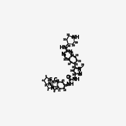 CN1CC2CCC(C1)N2Cc1ccc(NC(=O)Nc2cc(-c3ccc4nc(NC5CCNCC5)ncc4c3)n(C)n2)cc1C(F)(F)F